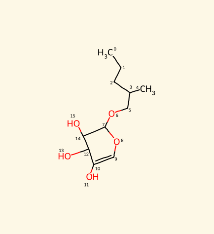 CCCC(C)COC1OC=C(O)C(O)C1O